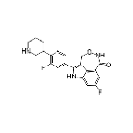 O=C1NOCc2c(-c3ccc(C4CCCNC4)c(F)c3)[nH]c3cc(F)cc1c23